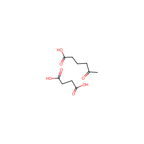 CC(=O)CCCC(=O)O.O=C(O)CCC(=O)O